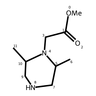 COC(=O)CN1C(C)CNCC1C